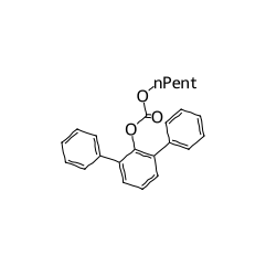 CCCCCOC(=O)Oc1c(-c2ccccc2)cccc1-c1ccccc1